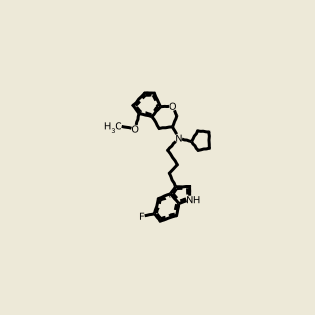 COc1cccc2c1CC(N(CCCc1c[nH]c3ccc(F)cc13)C1CCCC1)CO2